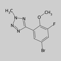 COc1c(F)cc(Br)cc1-c1nnn(C)n1